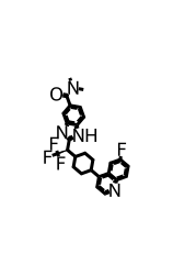 CN(C)C(=O)c1ccc2[nH]c([C@@H](C3CCC(c4ccnc5ccc(F)cc45)CC3)C(F)(F)F)nc2c1